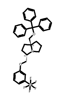 FS(F)(F)(F)(F)c1cccc(OC[C@@H]2CC[C@]3(COC(c4ccccc4)(c4ccccc4)c4ccccc4)CCCN23)c1